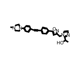 CC(O)c1nccn1Cc1cc(-c2ccc(C#Cc3ccc(N4CCN(C)CC4)cc3)cc2)on1